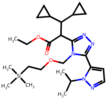 CCOC(=O)C(c1nnc(-c2ccnn2C(C)C)n1COCC[Si](C)(C)C)C(C1CC1)C1CC1